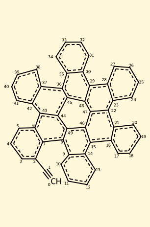 C#Cc1cccc2c1c1c3ccccc3c3c4ccccc4c4c5ccccc5c5c6ccccc6c6c7ccccc7c2c2c6c5c4c3c12